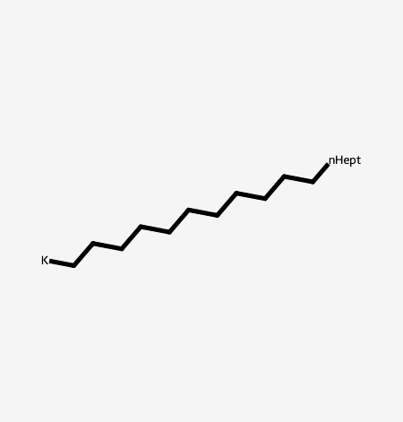 CCCCCCCCCCCCCCCCC[CH2][K]